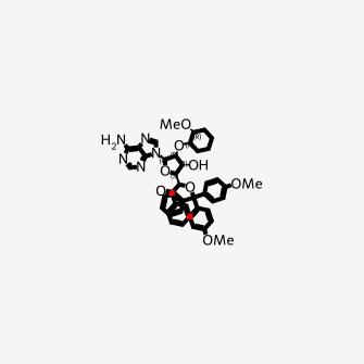 COc1ccc(C(OC(C(=O)c2ccccc2)[C@H]2O[C@@H](n3cnc4c(N)ncnc43)[C@H](O[C@@H]3CCCC[C@H]3OC)[C@@H]2O)(c2ccccc2)c2ccc(OC)cc2)cc1